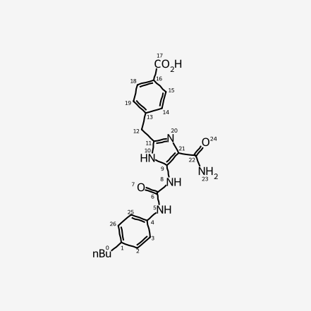 CCCCc1ccc(NC(=O)Nc2[nH]c(Cc3ccc(C(=O)O)cc3)nc2C(N)=O)cc1